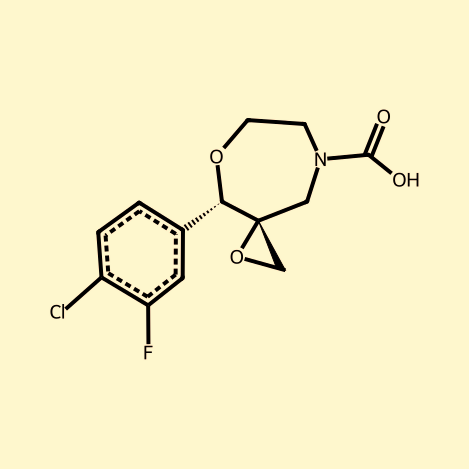 O=C(O)N1CCO[C@@H](c2ccc(Cl)c(F)c2)[C@]2(CO2)C1